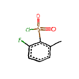 Cc1cccc(F)c1S(=O)(=O)Cl